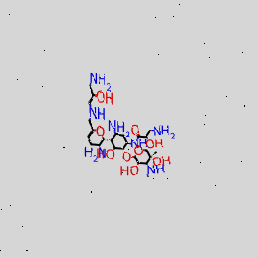 CN[C@@H]1[C@@H](O)[C@@H](O[C@H]2[C@H](NC(=O)[C@@H](O)CN)C[C@H](N)C([C@H]3OC(CNCC(O)CN)=CC[C@H]3N)[C@@H]2O)OC[C@]1(C)O